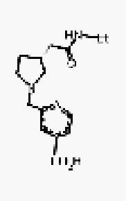 CCNC(=O)C[C@H]1CCN(Cc2cc(C(=O)O)ccn2)C1